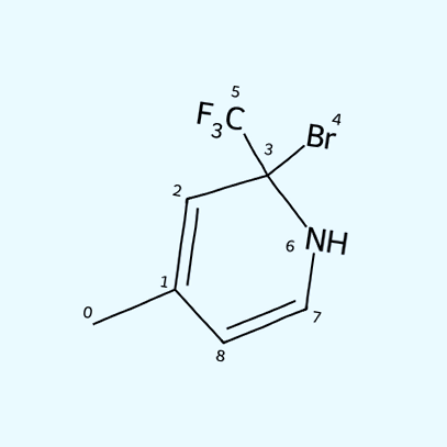 CC1=CC(Br)(C(F)(F)F)NC=C1